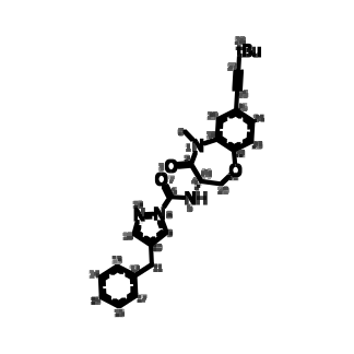 CN1C(=O)[C@@H](NC(=O)n2cc(Cc3ccccc3)cn2)COc2ccc(C#CC(C)(C)C)cc21